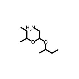 CCC(C)OC(CN)OC(C)CC